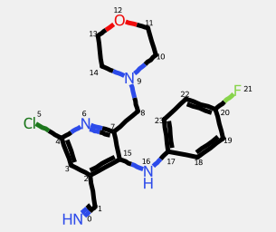 N=Cc1cc(Cl)nc(CN2CCOCC2)c1Nc1ccc(F)cc1